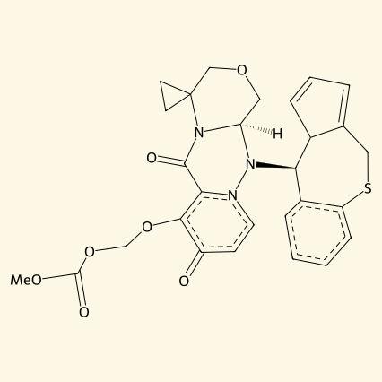 COC(=O)OCOc1c2n(ccc1=O)N([C@@H]1c3ccccc3SCC3=CC=CC31)[C@@H]1COCC3(CC3)N1C2=O